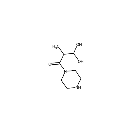 CC(C(=O)N1CCNCC1)C(O)O